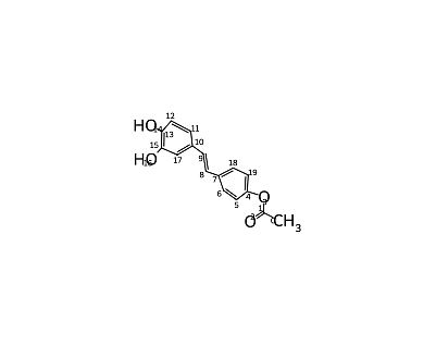 CC(=O)Oc1ccc(C=Cc2ccc(O)c(O)c2)cc1